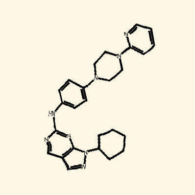 c1ccc(N2CCN(c3ccc(Nc4ncc5cnn(C6CCCCC6)c5n4)cc3)CC2)nc1